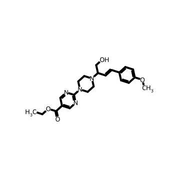 CCOC(=O)c1cnc(N2CCN(C(/C=C/c3ccc(OC)cc3)CO)CC2)nc1